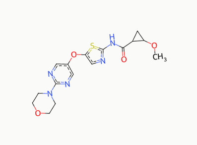 COC1CC1C(=O)Nc1ncc(Oc2cnc(N3CCOCC3)nc2)s1